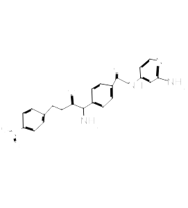 Nc1cc(NC(=O)c2ccc(C(N)C(=O)CCc3ccc([N+](=O)[O-])cc3)cc2)ccn1